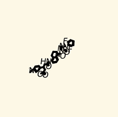 CN(C)c1ccc2c(c1)OC(=O)CC2CC(=O)Nc1cccc2c1CCCN2C(=O)n1nnn(-c2c(F)cccc2F)c1=O